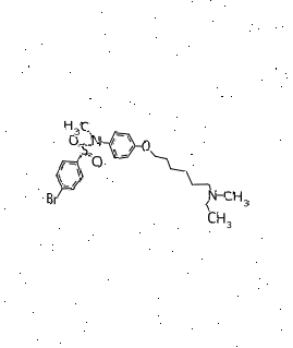 CCN(C)CCCCCCOc1ccc(N(C)S(=O)(=O)c2ccc(Br)cc2)cc1